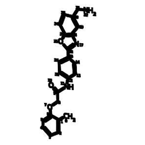 Cc1ccccc1OCC(=O)Nc1ccc(-c2nc3cc(CN)ccc3o2)cc1